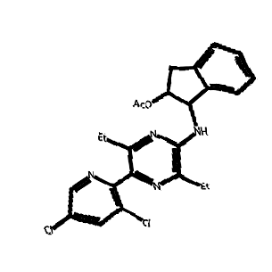 CCc1nc(-c2ncc(Cl)cc2Cl)c(CC)nc1NC1c2ccccc2CC1OC(C)=O